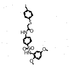 COc1ccc(OC)c(NS(=O)(=O)c2ccc(NC(=O)CSc3ccc(I)cc3)cc2)c1